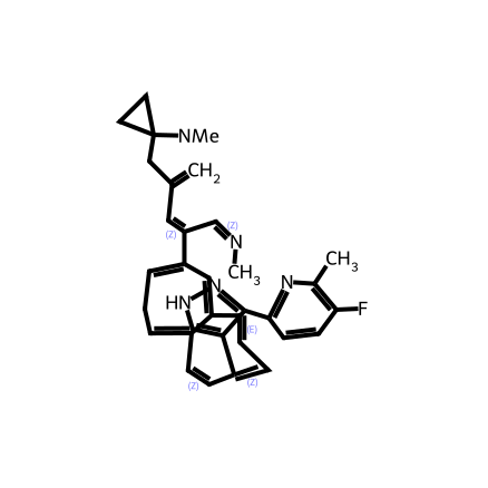 C=C(/C=C(\C=N/C)C1=CCC=C2\C=C/C(c3c[nH]nc3-c3ccc(F)c(C)n3)=C/C=C/C2=C1)CC1(NC)CC1